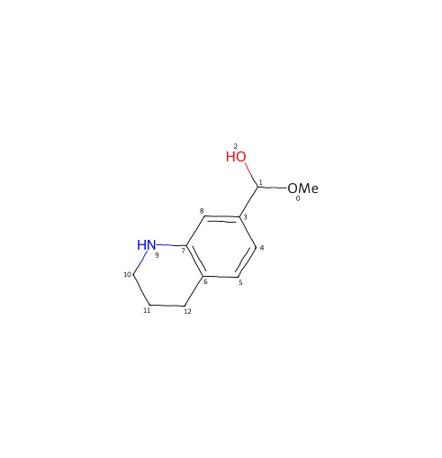 COC(O)c1ccc2c(c1)NCCC2